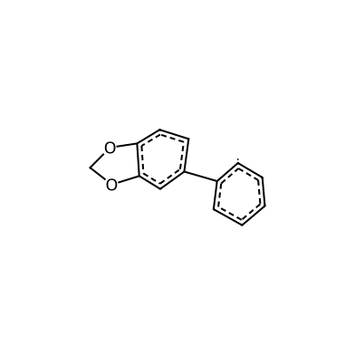 [c]1ccccc1-c1ccc2c(c1)OCO2